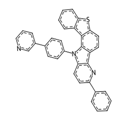 c1ccc(-c2ccc3c(n2)c2ccc4sc5ccccc5c4c2n3-c2ccc(-c3cccnc3)cc2)cc1